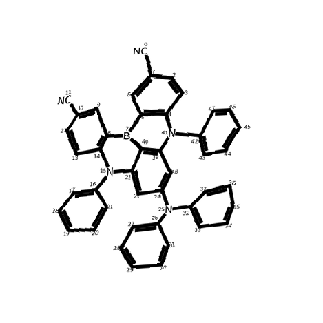 N#Cc1ccc2c(c1)B1c3cc(C#N)ccc3N(c3ccccc3)c3cc(N(c4ccccc4)c4ccccc4)cc(c31)N2c1ccccc1